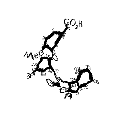 COc1ccc(CC(=O)O)cc1Oc1ccc(Br)cc1CN1C(=O)O[C@@H]2Cc3ccccc3C21